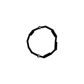 [C]1=CC=CC=CCCCCC=CCC1